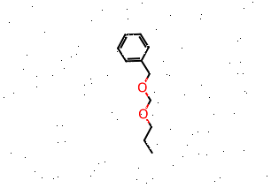 CCCOCOCc1ccccc1